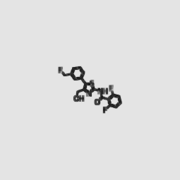 O=C(Nc1nc(CO)c(-c2cccc(CF)c2)s1)c1c(F)cccc1F